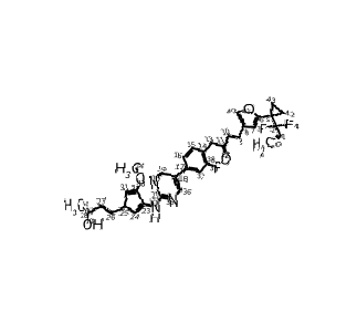 C=CC(F)(F)C1(c2cc(CCC(=O)Cc3ccc(-c4cnc(NC5=CC(CC[C@@H](C)O)C=C5OC)nc4)cc3F)co2)CC1